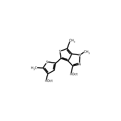 CCCCCCCCc1cc(-c2sc(C)c3c2c(CCCCCCCC)nn3C)sc1C